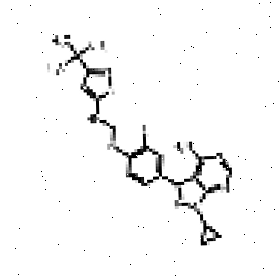 CC(C)(C)c1cc(NCNc2ccc(-c3nn(C4CC4)c4ncnc(N)c34)cc2F)sn1